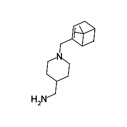 CC1(C)C2CC=C(CN3CCC(CN)CC3)C1C2